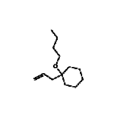 C=CCC1(OCCCC)CCCCC1